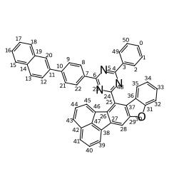 c1ccc(-c2nc(-c3ccc(-c4ccc5ccccc5c4)cc3)nc(-c3c4c(cc5oc6ccccc6c35)-c3cccc5cccc-4c35)n2)cc1